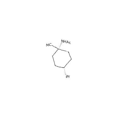 CC(=O)N[C@]1(C#N)CC[C@H](C(C)C)CC1